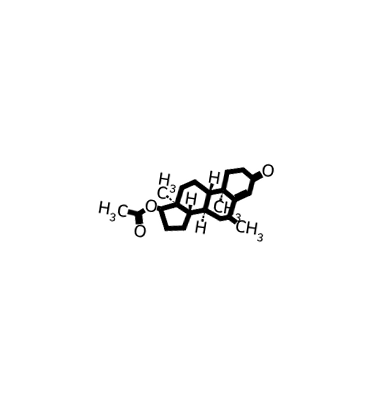 CC(=O)OC1CC[C@H]2[C@@H]3CC(C)C4=CC(=O)CC[C@]4(C)[C@H]3CC[C@]12C